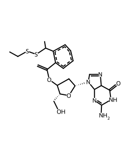 C=C(OC1C[C@H](N2C=NC3C(=O)NC(N)=NC32)O[C@@H]1CO)c1ccccc1C(C)SSCC